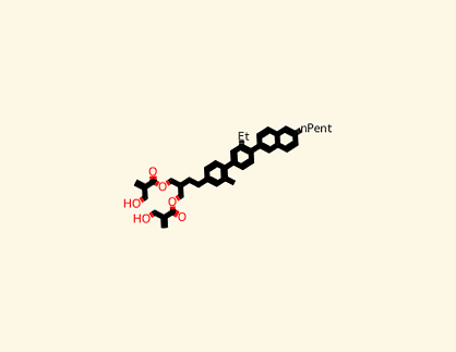 C=C(CO)C(=O)OCC(CCc1ccc(-c2ccc(C3=CC4C=CC(CCCCC)=CC4C=C3)c(CC)c2)c(C)c1)COC(=O)C(=C)CO